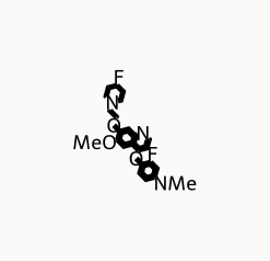 CNc1ccc(Oc2ccnc3cc(OCCN4CCC(F)CC4)c(OC)cc23)c(F)c1